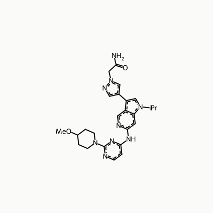 COC1CCN(c2nccc(Nc3cc4c(cn3)c(-c3cnn(CC(N)=O)c3)cn4C(C)C)n2)CC1